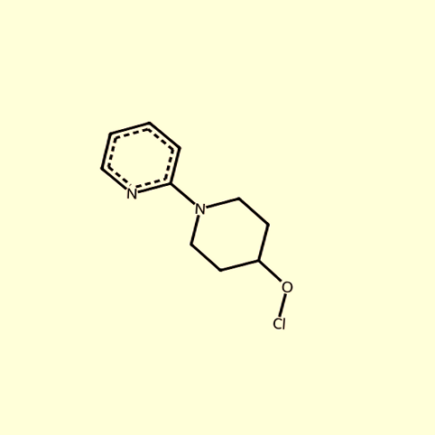 ClOC1CCN(c2ccccn2)CC1